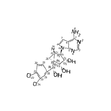 Nc1ncnc2c1ccn2[C@H]1[C@H](O)[C@H](O)[C@]2([C@H](O)c3ccc(Cl)c(Cl)c3)C[C@H]12